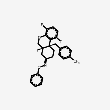 Fc1ccc(F)c2c1OC[C@H]1C/C(=N\Oc3ccccc3)CC[C@@]21Cc1ccc(C(F)(F)F)cc1